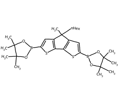 CCCCCCC1(C)c2cc(B3OC(C)(C)C(C)(C)O3)sc2-c2sc(B3OC(C)(C)C(C)(C)O3)cc21